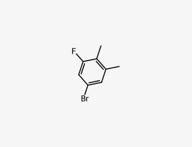 Cc1cc(Br)cc(F)c1C